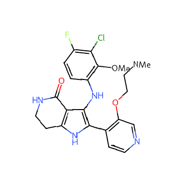 CNCCOc1cnccc1-c1[nH]c2c(c1Nc1ccc(F)c(Cl)c1OC)C(=O)NCC2